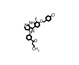 C=CCC(=O)c1cccc(-n2nc(-c3ccc(OCc4ccc(Cl)cc4)c(F)c3)c3c(N)nccc32)c1